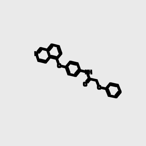 O=C(COc1ccccc1)Nc1ccc(Oc2cccc3cnccc23)cc1